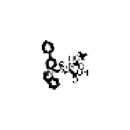 CC(C)(C)OC(=O)N[C@@H](C[S+]([O-])CC1(n2ccc3ccccc32)C=CC(c2ccccc2)=CC1)C(=O)O